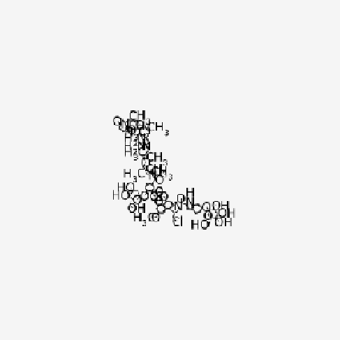 COc1ccc2c(OS(=O)(=O)Oc3cc(C(=O)N(C)CC(C)(C)COCC(C)(C)CN(N)/C=C(\N)CC(C)(C)COCC(C)(C)CN4C(=O)C=CC4=O)ccc3O[C@H]3C[C@@H](O)[C@@H](O)[C@@H](CO)O3)cc3c(c2c1)/C(=C/Cl)CN3C(=O)c1cc2ccc(O[C@@H]3O[C@H](CO)[C@H](O)C(O)[C@H]3O)cc2[nH]1